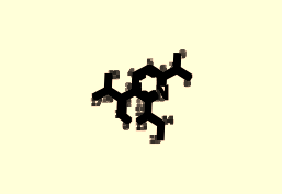 C/C=C(\c1ccc(C(C)C)nc1C(C)CC)C(C)C